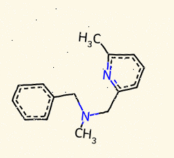 Cc1cccc(CN(C)Cc2ccccc2)n1